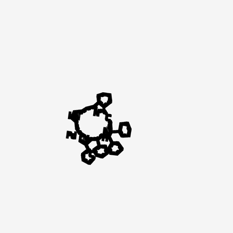 C1=C(c2ccccc2)c2nc1cc1ccc(cc3nc(cc4[nH]c(c2-c2ccccc2)c(-c2ccccc2)c4-c2ccccc2)-c2ccccc2-3)[nH]1.[Pd]